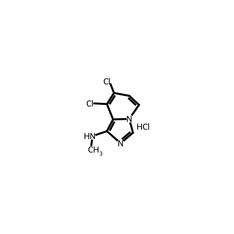 CNc1ncn2ccc(Cl)c(Cl)c12.Cl